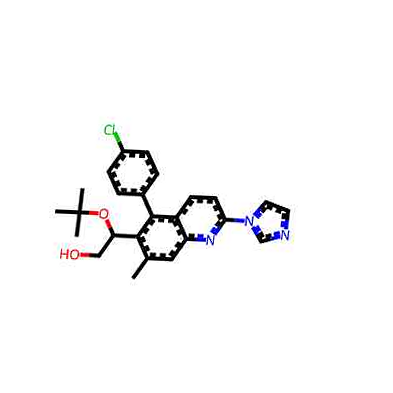 Cc1cc2nc(-n3ccnc3)ccc2c(-c2ccc(Cl)cc2)c1C(CO)OC(C)(C)C